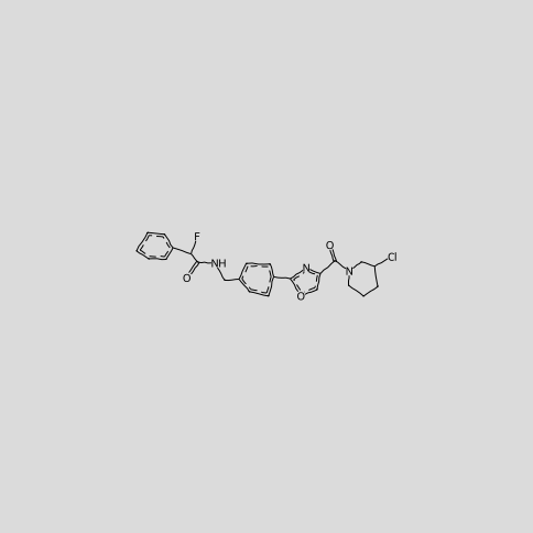 O=C(NCc1ccc(-c2nc(C(=O)N3CCCC(Cl)C3)co2)cc1)C(F)c1ccccc1